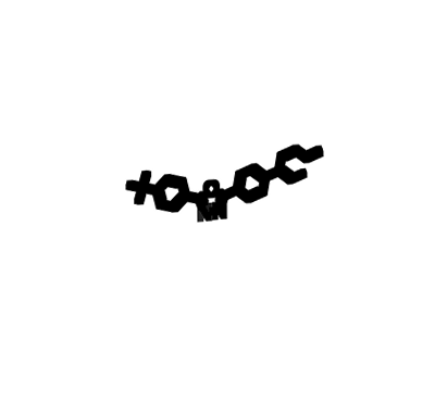 C=C/C=C\C(=C/C)c1ccc(-c2nnc(-c3ccc(C(C)(C)C)cc3)o2)cc1